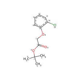 CC(C)(C)OC(=O)COc1ccccc1Cl